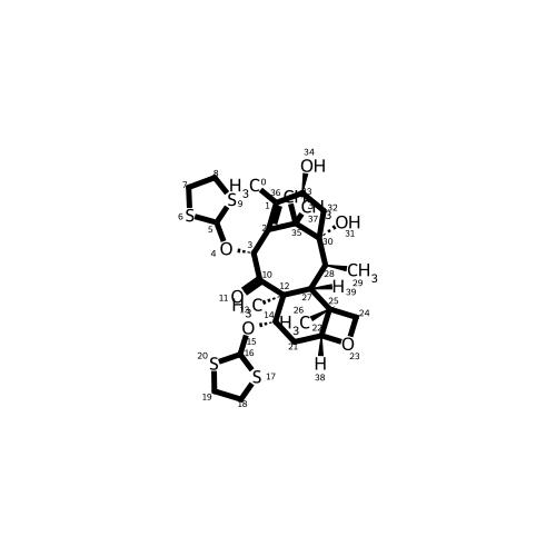 CC1=C2[C@@H](OC3SCCS3)C(=O)[C@]3(C)[C@@H](OC4SCCS4)C[C@H]4OC[C@@]4(C)[C@H]3[C@H](C)[C@](O)(C[C@@H]1O)C2(C)C